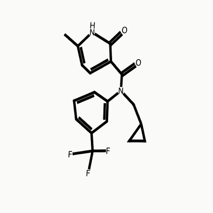 Cc1ccc(C(=O)N(CC2CC2)c2cccc(C(F)(F)F)c2)c(=O)[nH]1